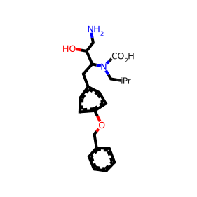 CC(C)CN(C(=O)O)C(Cc1ccc(OCc2ccccc2)cc1)C(O)CN